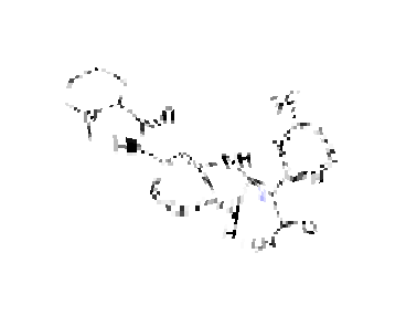 CN1CCCCC1C(=O)Nc1ccc2c(c1)N/C(=C(/C(N)=O)c1nccc(C(F)(F)F)n1)N2